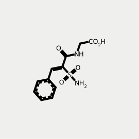 NS(=O)(=O)C(=Cc1ccccc1)C(=O)NCC(=O)O